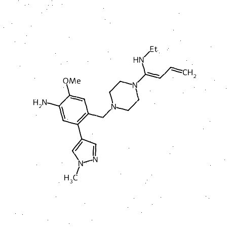 C=C/C=C(\NCC)N1CCN(Cc2cc(OC)c(N)cc2-c2cnn(C)c2)CC1